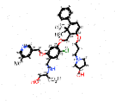 CC1(C)C(c2ccccc2)=CC=C(OCCCN2CC[C@@H](O)C2)C1COc1cc(OCc2cncc(C#N)c2)c(CNC(CO)C(=O)O)cc1Cl